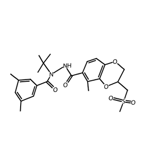 Cc1cc(C)cc(C(=O)N(NC(=O)c2ccc3c(c2C)OC(CS(C)(=O)=O)CO3)C(C)(C)C)c1